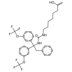 C=C(O)CCCCCCNC(=O)NC(Cc1ccccc1)(c1cccc(OC(F)(F)F)c1)c1cccc(OC(F)(F)F)c1